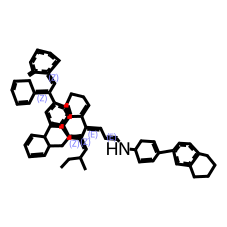 C=c1cccc/c1=C/C(=C1/C=CC=CC1)c1ccc(\C=C/C(=C\C=C\NC2C=CC(c3ccc4c(c3)CCCC4)=CC2)C2=CCCC=C2C2=CC3C=CC=CC3CC2/C=C\C(C)CC)cc1